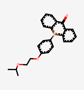 CC(C)OCCOc1ccc(-[s+]2c3ccccc3c(=O)c3ccccc32)cc1